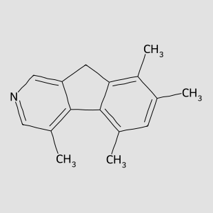 Cc1cc(C)c2c(c1C)Cc1cncc(C)c1-2